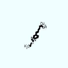 C=CCOc1cnc2cc(C=CCCCC(C)O)ccc2n1